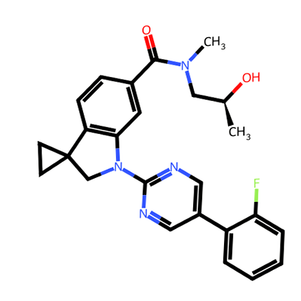 C[C@H](O)CN(C)C(=O)c1ccc2c(c1)N(c1ncc(-c3ccccc3F)cn1)CC21CC1